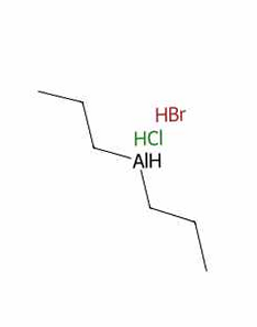 Br.CC[CH2][AlH][CH2]CC.Cl